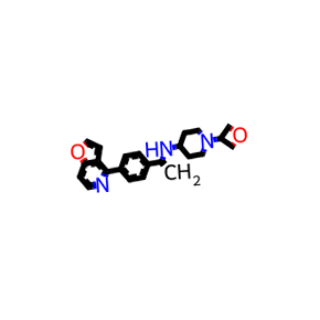 C=C(NC1CCN(C2COC2)CC1)c1ccc(-c2nccc3occc23)cc1